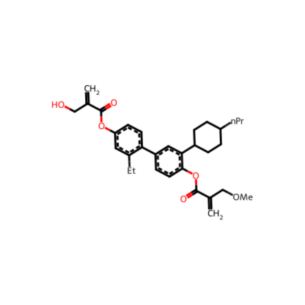 C=C(CO)C(=O)Oc1ccc(-c2ccc(OC(=O)C(=C)COC)c(C3CCC(CCC)CC3)c2)c(CC)c1